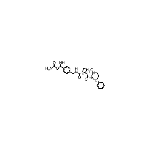 CN1CC[C@H](c2ccccc2)C[C@@H]1C(=O)N1CC[C@H]1C(=O)NCc1ccc(C(=N)OC(N)=O)cc1